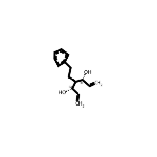 C=C[C@@H](O)C(CCc1ccccc1)[C@@H](O)C=C